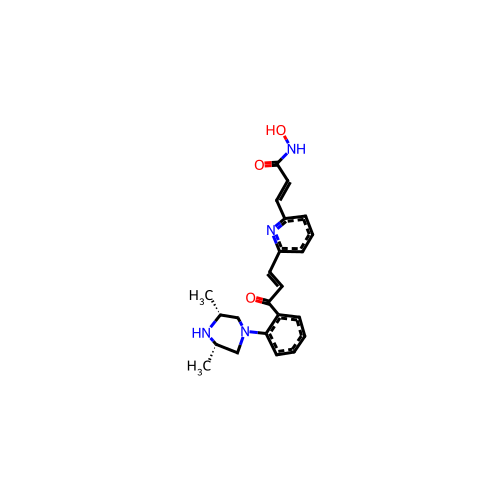 C[C@@H]1CN(c2ccccc2C(=O)C=Cc2cccc(C=CC(=O)NO)n2)C[C@H](C)N1